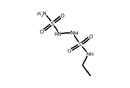 CCNS(=O)(=O)NNS(N)(=O)=O